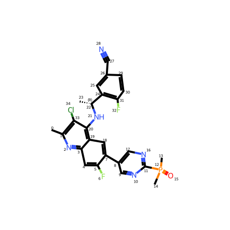 Cc1nc2cc(F)c(-c3cnc(P(C)(C)=O)nc3)cc2c(N[C@H](C)c2cc(C#N)ccc2F)c1Cl